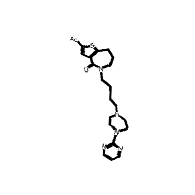 CC(=O)c1cc2c(s1)CCCN(CCCCN1CCN(c3ncccn3)CC1)C2=O